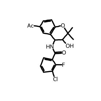 CC(=O)c1ccc2c(c1)C(NC(=O)c1cccc(Cl)c1F)C(O)C(C)(C)O2